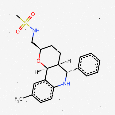 CS(=O)(=O)NC[C@H]1CC[C@@H]2[C@H](O1)c1cc(C(F)(F)F)ccc1N[C@H]2c1ccccc1